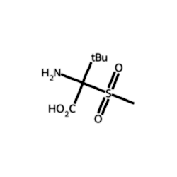 CC(C)(C)C(N)(C(=O)O)S(C)(=O)=O